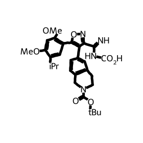 COc1cc(OC)c(C(C)C)cc1-c1onc(C(=N)NC(=O)O)c1-c1ccc2c(c1)CCN(C(=O)OC(C)(C)C)C2